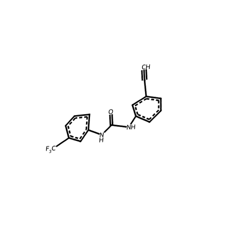 C#Cc1cccc(NC(=O)Nc2cccc(C(F)(F)F)c2)c1